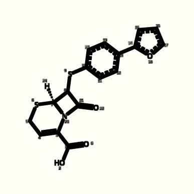 O=C(O)C1=CCS[C@H]2C(Sc3ccc(-c4ccco4)cc3)C(=O)N12